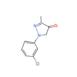 CC1=NN(c2cccc(Cl)c2)CC1=O